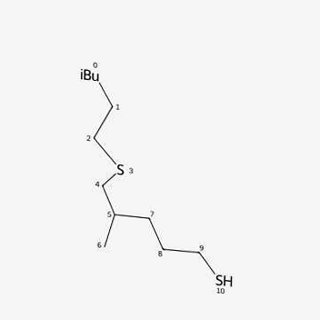 CCC(C)CCSCC(C)CCCS